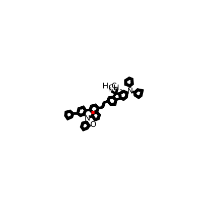 CCC1(CC)c2cc(/C=C/c3ccc(-c4ccc(-c5ccccc5)cc4N4c5ccccc5Oc5ccccc54)cc3)ccc2-c2ccc(N(c3ccccc3)c3ccccc3)cc21